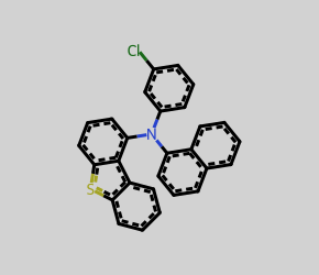 Clc1cccc(N(c2cccc3ccccc23)c2cccc3sc4ccccc4c23)c1